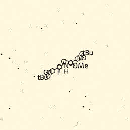 COc1cc(NC(=O)c2ccc(C3=CCN(C(=O)OC(C)(C)C)CC3)c(F)c2)c(C)cc1C1=CCN(C(=O)OC(C)(C)C)CC1